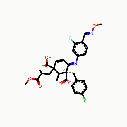 CON=Cc1ccc(N=C2C=CC(CC(C)C(=O)OC)(C(=O)O)C(C)[C@]2(Cc2ccc(Cl)cc2)C(=O)O)cc1F